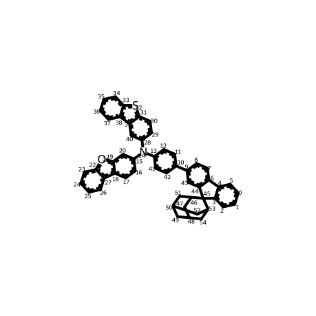 c1ccc2c(c1)-c1ccc(-c3ccc(N(c4ccc5c(c4)oc4ccccc45)c4ccc5sc6ccccc6c5c4)cc3)cc1C21C2CC3CC(C2)CC1C3